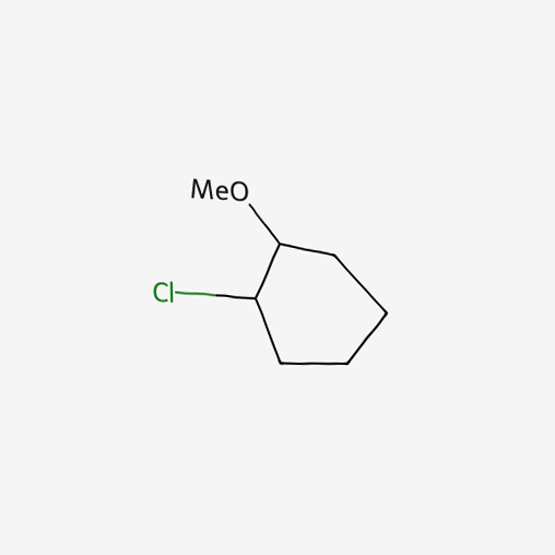 COC1CCCCC1Cl